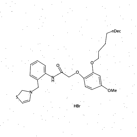 Br.CCCCCCCCCCCCCCOc1cc(OC)ccc1OCC(=O)Nc1ccccc1CN1C=CSC1